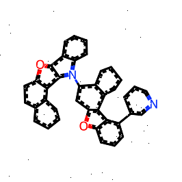 c1cncc(-c2cccc3oc4cc(-n5c6ccccc6c6oc7ccc8ccccc8c7c65)c5ccccc5c4c23)c1